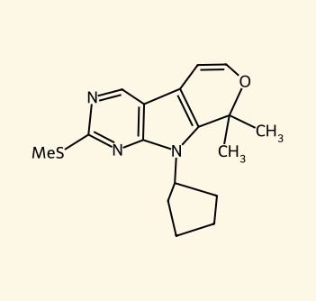 CSc1ncc2c3c(n(C4CCCC4)c2n1)C(C)(C)OC=C3